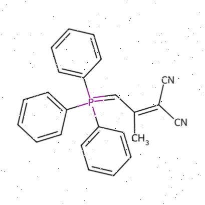 CC(C=P(c1ccccc1)(c1ccccc1)c1ccccc1)=C(C#N)C#N